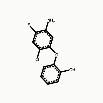 Nc1cc(Oc2ccccc2O)c(Cl)cc1F